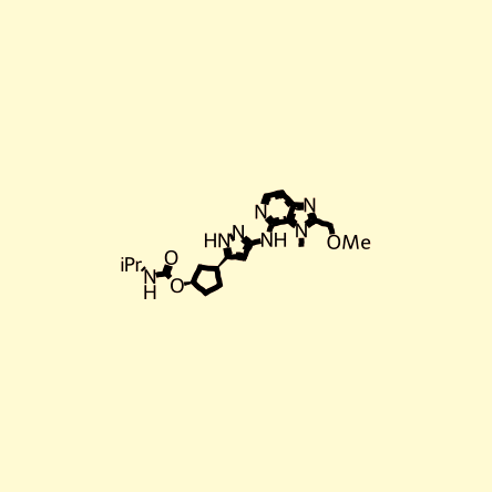 COCc1nc2ccnc(Nc3cc([C@H]4CC[C@@H](OC(=O)NC(C)C)C4)[nH]n3)c2n1C